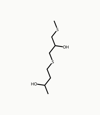 CSCC(O)CSCCC(C)O